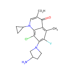 Cc1c(F)c(N2CCC(N)C2)c(Cl)c2c1c(=O)c(C(=O)O)cn2C1CC1